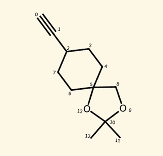 C#CC1CCC2(CC1)COC(C)(C)O2